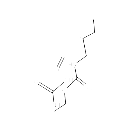 C=O.CCCCNC(=O)OCC.NC(=O)O